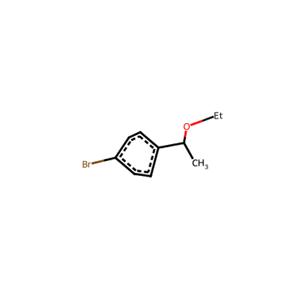 CCOC(C)c1ccc(Br)cc1